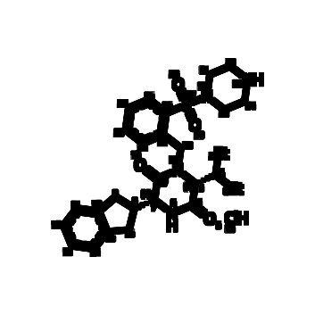 CCC(CC)[C@@H]1C(=O)N[C@H](C2Cc3ccccc3C2)C(=O)N1Cc1ccccc1S(=O)(=O)N1CCNCC1.Cl